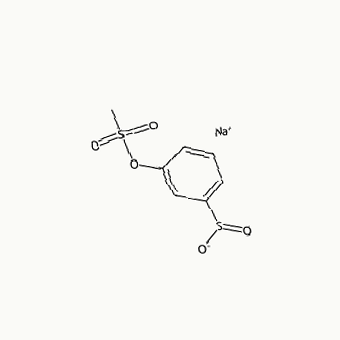 CS(=O)(=O)Oc1cccc(S(=O)[O-])c1.[Na+]